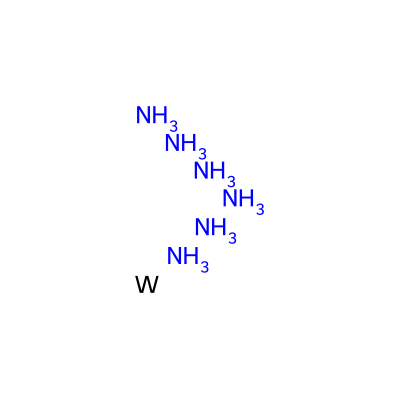 N.N.N.N.N.N.[W]